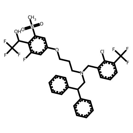 CS(=O)(=O)c1cc(OCCCN(Cc2cccc(C(F)(F)F)c2Cl)CC(c2ccccc2)c2ccccc2)cc(F)c1C(O)C(F)(F)F